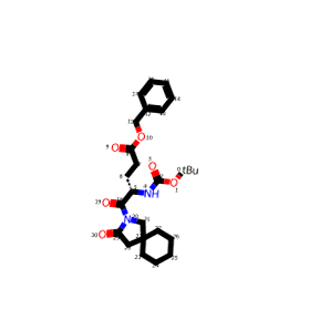 CC(C)(C)OC(=O)N[C@@H](CCC(=O)OCc1ccccc1)C(=O)N1CC2(CCCCC2)CC1=O